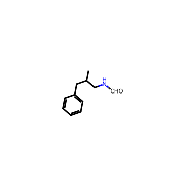 CC(CNC=O)Cc1ccccc1